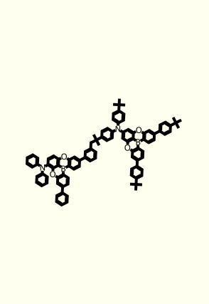 CC(C)(C)c1ccc(-c2ccc3c(c2)Oc2cc(N(c4ccc(C(C)(C)C)cc4)c4ccc(C(C)(C)Cc5cccc(-c6ccc7c(c6)Oc6ccc(N(c8ccccc8)c8ccccc8)c8c6B7c6ccc(-c7ccccc7)cc6O8)c5)cc4)cc4c2B3c2ccc(-c3ccc(C(C)(C)C)cc3)cc2O4)cc1